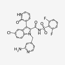 Nc1cc(Cn2c(C(=O)NS(=O)(=O)c3c(F)cccc3F)c(-c3ccc[nH]c3=O)c3cc(Cl)ccc32)ccn1